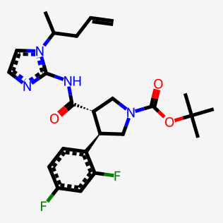 C=CCC(C)n1ccnc1NC(=O)[C@@H]1CN(C(=O)OC(C)(C)C)C[C@H]1c1ccc(F)cc1F